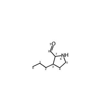 CCCC1CCNC1[C]=O